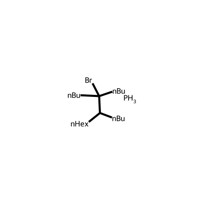 CCCCCCC(CCCC)C(Br)(CCCC)CCCC.P